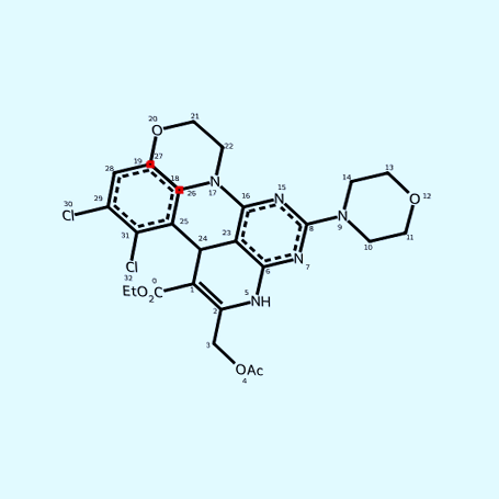 CCOC(=O)C1=C(COC(C)=O)Nc2nc(N3CCOCC3)nc(N3CCOCC3)c2C1c1cccc(Cl)c1Cl